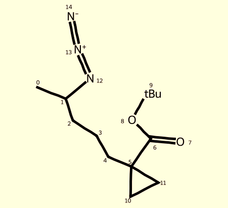 CC(CCCC1(C(=O)OC(C)(C)C)CC1)N=[N+]=[N-]